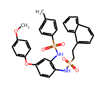 COc1ccc(Oc2ccc(NS(=O)(=O)CCc3cccc4ccccc34)c(NS(=O)(=O)c3ccc(C)cc3)c2)cc1